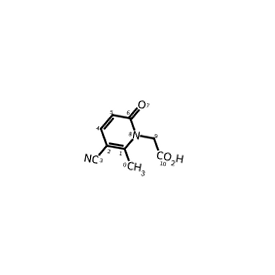 Cc1c(C#N)ccc(=O)n1CC(=O)O